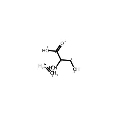 C=C.NC(CO)C(=O)O